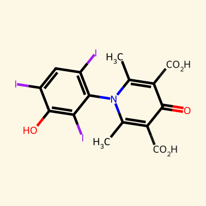 Cc1c(C(=O)O)c(=O)c(C(=O)O)c(C)n1-c1c(I)cc(I)c(O)c1I